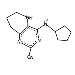 N#Cc1nc2c(c(NC3CCCC3)n1)NCCC2